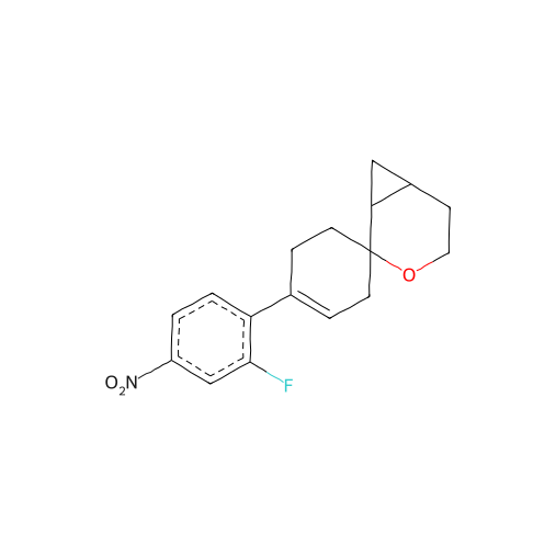 O=[N+]([O-])c1ccc(C2=CCC3(CC2)OCCC2CC23)c(F)c1